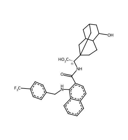 O=C(N[C@H](C(=O)O)C12CCC3C(O)CC(CC3C1)C2)c1ccc2ccccc2c1NCc1ccc(C(F)(F)F)cc1